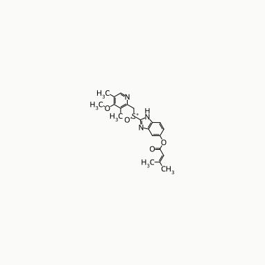 COc1c(C)cnc(C[S+]([O-])c2nc3cc(OC(=O)C=C(C)C)ccc3[nH]2)c1C